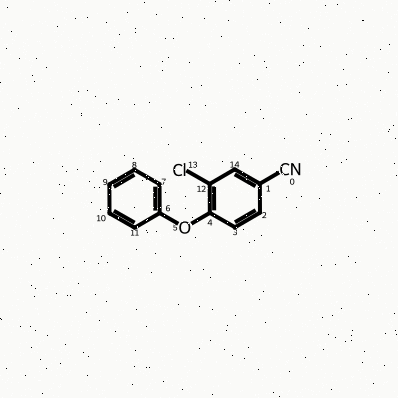 N#Cc1ccc(Oc2ccccc2)c(Cl)c1